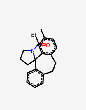 CCC(=O)N1CCCC12c1ccccc1CCc1ccc(C)cc12